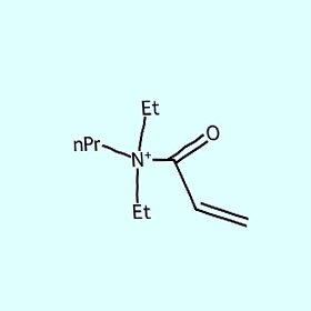 C=CC(=O)[N+](CC)(CC)CCC